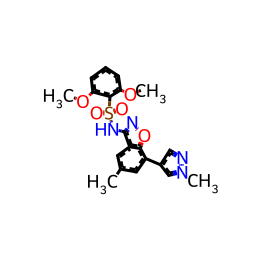 COc1cccc(OC)c1S(=O)(=O)Nc1noc2c(-c3cnn(C)c3)cc(C)cc12